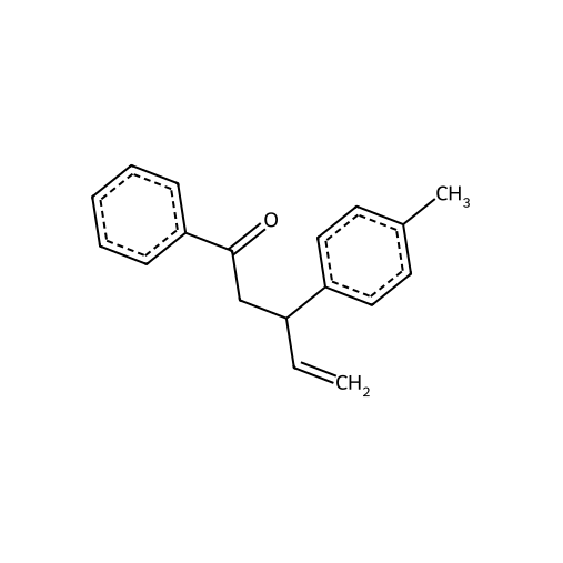 C=CC(CC(=O)c1ccccc1)c1ccc(C)cc1